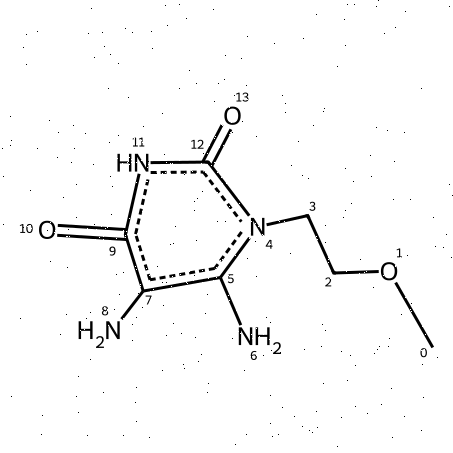 COCCn1c(N)c(N)c(=O)[nH]c1=O